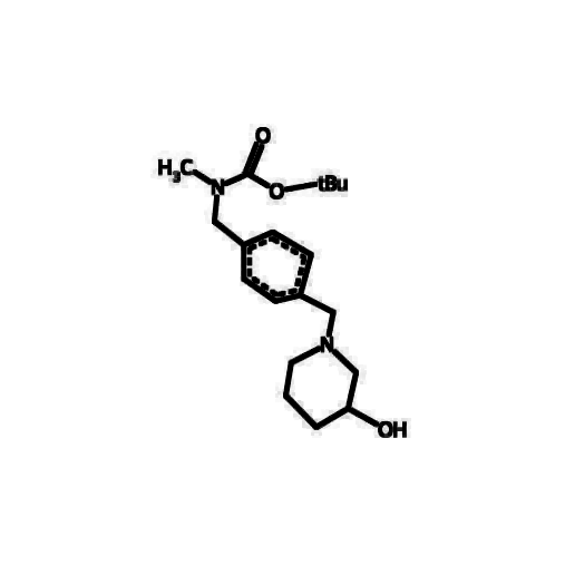 CN(Cc1ccc(CN2CCCC(O)C2)cc1)C(=O)OC(C)(C)C